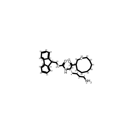 NCCCC[C@H](NC(=O)OCC1c2ccccc2-c2ccccc21)C(=O)C1CCCCCCCCC1